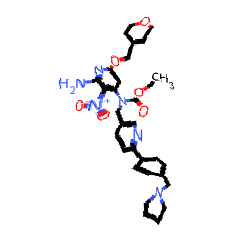 CCOC(=O)N(Cc1ccc(-c2ccc(CN3CCCC3)cc2)nc1)c1cc(OCC2CCOCC2)nc(N)c1[N+](=O)[O-]